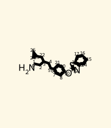 NCCC(CCc1ccc(Oc2nc3ccccc3s2)cc1)CC1CC1